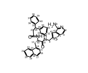 Nc1nccc2sc(CNC(=O)[C@H](Cc3cccc4ccccc34)NC(=O)CC(c3ccccc3)c3ccccc3)cc12